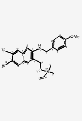 COc1ccc(CNc2nc3cc(F)c(Br)cc3cc2CO[Si](C)(C)C(C)(C)C)cc1